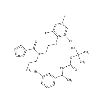 CC(NC(=O)OC(C)(C)C)c1cccc(Br)c1.CCCN(CCOc1c(Cl)cc(Cl)cc1Cl)C(=O)n1ccnc1